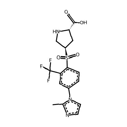 Cc1nccn1-c1ccc(S(=O)(=O)[C@H]2CN[C@H](C(=O)O)C2)c(C(F)(F)F)c1